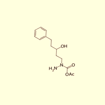 CC(=O)OC(=O)N(N)CCC(O)CCc1ccccc1